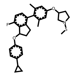 CSN1CCC(Oc2cc(C)c(-c3ccc(F)c4c3CCC4Oc3ccc(C4CC4)cc3)c(C)c2)C1